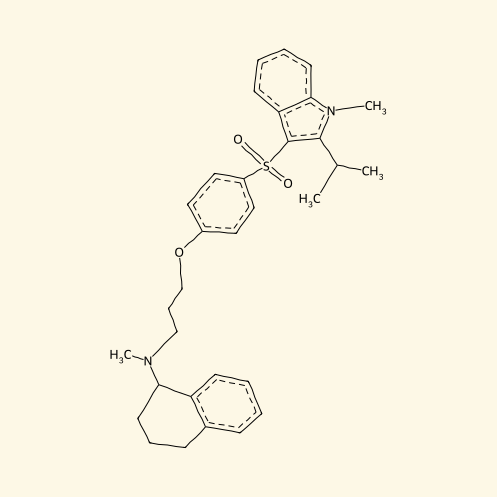 CC(C)c1c(S(=O)(=O)c2ccc(OCCCN(C)C3CCCc4ccccc43)cc2)c2ccccc2n1C